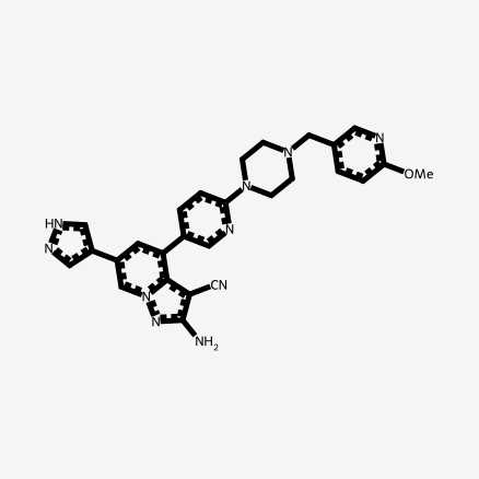 COc1ccc(CN2CCN(c3ccc(-c4cc(-c5cn[nH]c5)cn5nc(N)c(C#N)c45)cn3)CC2)cn1